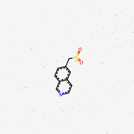 O=[SH](=O)Cc1ccc2cnccc2c1